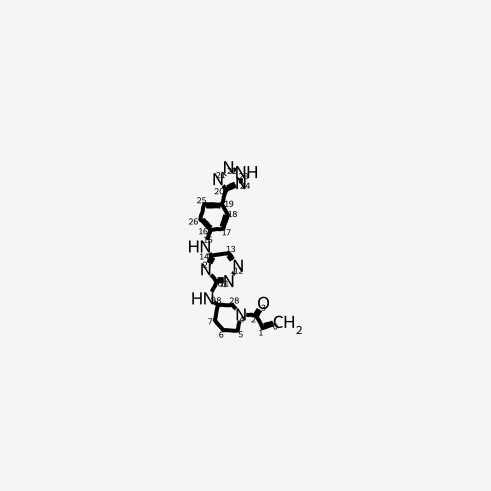 C=CC(=O)N1CCCC(Nc2nncc(Nc3ccc(-c4nn[nH]n4)cc3)n2)C1